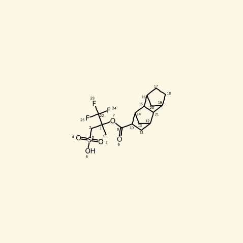 CC(CS(=O)(=O)O)(OC(=O)C1CC2CC1C1C3CCC(C3)C21)C(F)(F)F